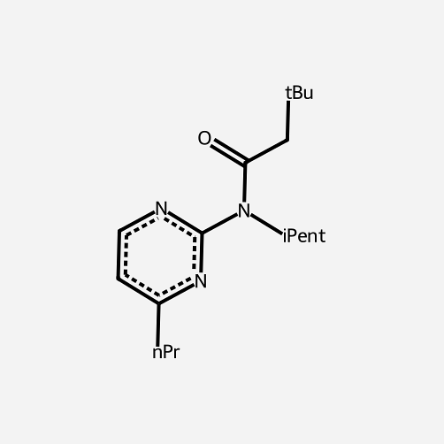 CCCc1ccnc(N(C(=O)CC(C)(C)C)C(C)CCC)n1